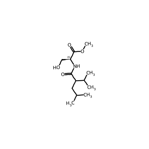 COC(=O)[C@H](CO)NC(=O)C(CC(C)C)C(C)C